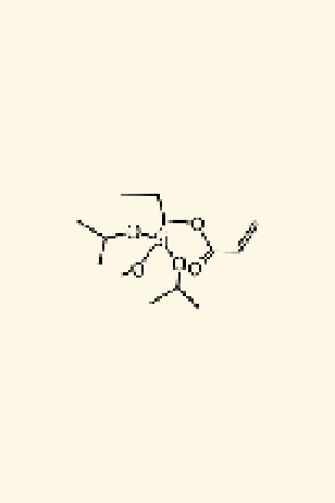 C=CC(=O)OC(CC)[Si](OC)(OC(C)C)OC(C)C